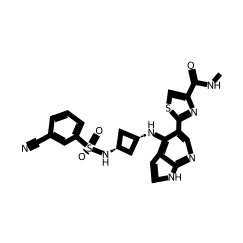 CNC(=O)c1csc(-c2cnc3[nH]ccc3c2N[C@H]2C[C@@H](NS(=O)(=O)c3cccc(C#N)c3)C2)n1